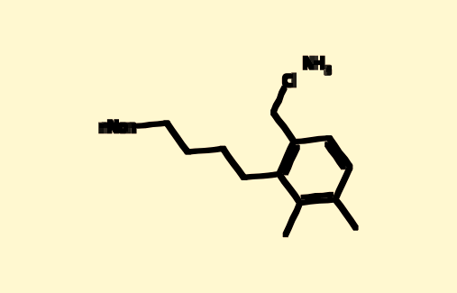 CCCCCCCCCCCCCc1c(CCl)ccc(C)c1C.N